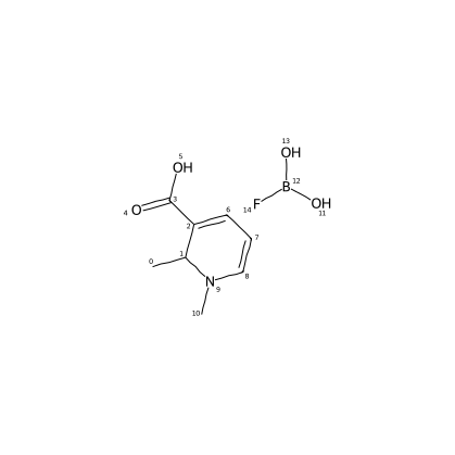 CC1C(C(=O)O)=CC=CN1C.OB(O)F